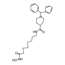 O=C(CCCCCCCNC(=O)C1CCN(C(c2ccccc2)c2ccccc2)CC1)NO